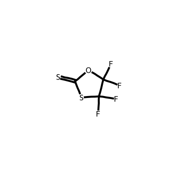 FC1(F)OC(=S)SC1(F)F